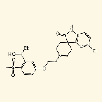 CCC(O)c1cc(OCCN2CCC3(CC2)C(=O)Nc2ccc(Cl)cc23)ccc1S(C)(=O)=O